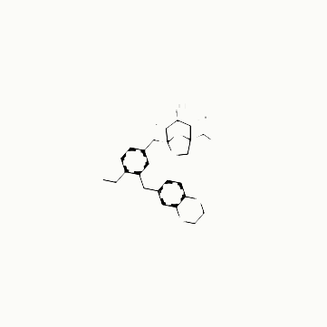 CCc1ccc(C[C@]23OC[C@](CO)(O2)[C@@H](O)[C@H](O)[C@H]3O)cc1Cc1ccc2c(c1)OCCO2